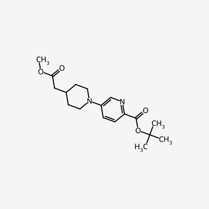 COC(=O)CC1CCN(c2ccc(C(=O)OC(C)(C)C)nc2)CC1